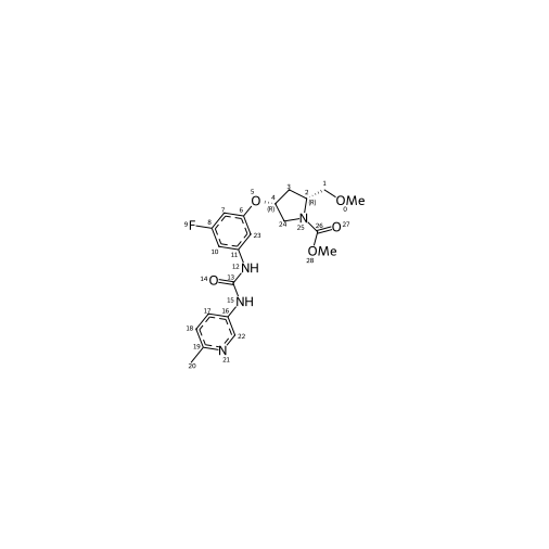 COC[C@H]1C[C@@H](Oc2cc(F)cc(NC(=O)Nc3ccc(C)nc3)c2)CN1C(=O)OC